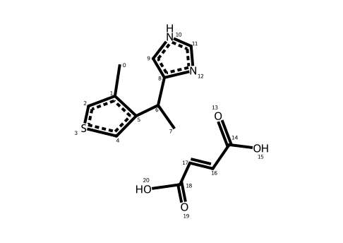 Cc1cscc1C(C)c1c[nH]cn1.O=C(O)/C=C/C(=O)O